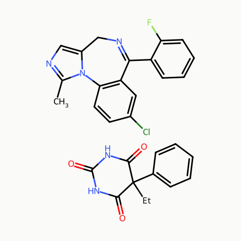 CCC1(c2ccccc2)C(=O)NC(=O)NC1=O.Cc1ncc2n1-c1ccc(Cl)cc1C(c1ccccc1F)=NC2